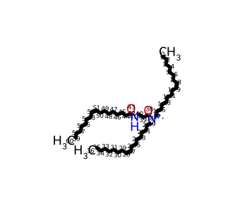 CCCCCCCC/C=C\CCCCCCCC[N+](CCCCCCCC/C=C\CCCCCCCC)C(=O)C[CH]NC(=O)CCCCCCC/C=C\CCCCCCCC